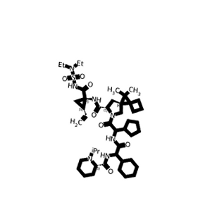 C=C[C@@H]1C[C@]1(NC(=O)[C@@H]1C[C@@]2(CN1C(=O)C(NC(=O)C(NC(=O)[C@@H]1CCCCN1C(C)C)C1CCCCC1)C1CCCC1)C(C)(C)C21CCC1)C(=O)NS(=O)(=O)N(CC)CC